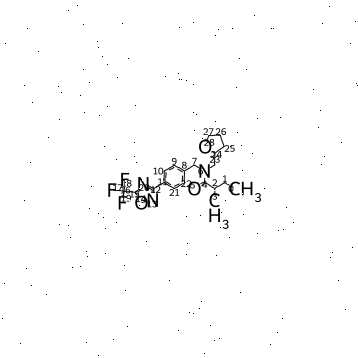 CCC(C)C(=O)N(Cc1ccc(-c2noc(C(F)(F)F)n2)cc1)CC1CCCO1